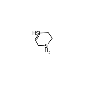 C1=[SiH]CC[SiH2]C1